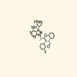 CC(C1=C(c2cccc(F)c2)C(C=O)c2ccccc2O1)n1nc(-c2cn[nH]c2)c2c(N)ncnc21